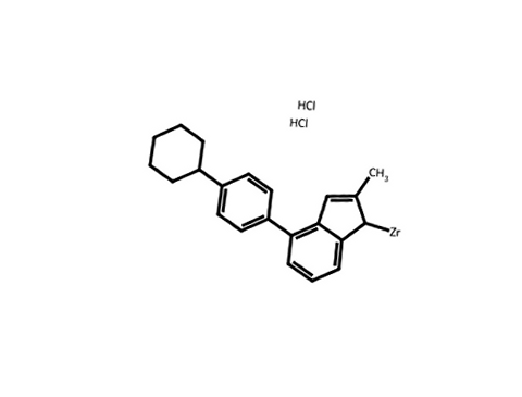 CC1=Cc2c(-c3ccc(C4CCCCC4)cc3)cccc2[CH]1[Zr].Cl.Cl